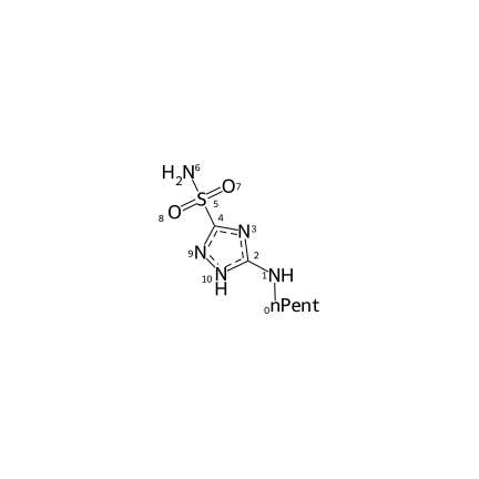 CCCCCNc1nc(S(N)(=O)=O)n[nH]1